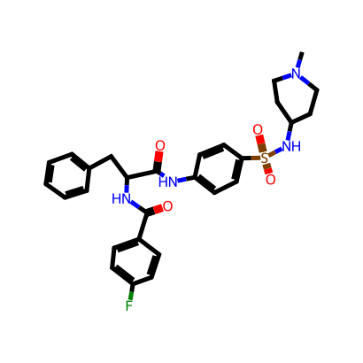 CN1CCC(NS(=O)(=O)c2ccc(NC(=O)C(Cc3ccccc3)NC(=O)c3ccc(F)cc3)cc2)CC1